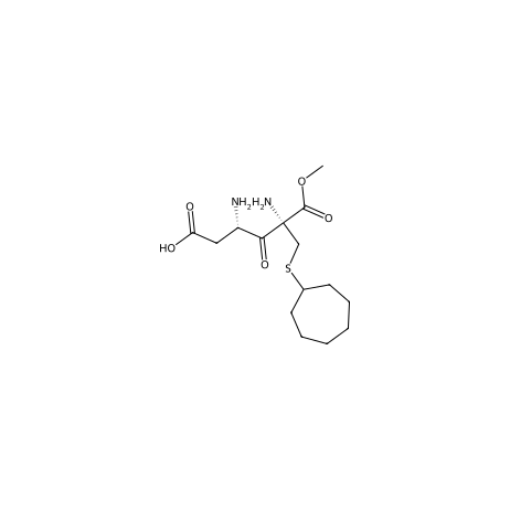 COC(=O)[C@@](N)(CSC1CCCCCC1)C(=O)[C@@H](N)CC(=O)O